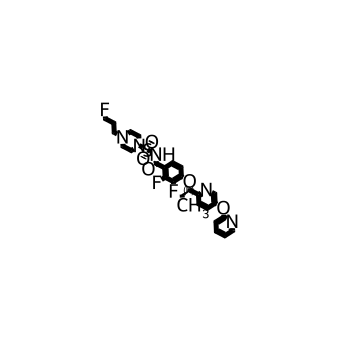 CC[C@@H](Oc1ccc(C(=O)NS(=O)(=O)N2CCN(CCCF)CC2)c(F)c1F)c1ccc(Oc2ccccn2)cn1